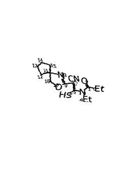 CCC(=O)N(CC)/C(S)=C(\C#N)C1=NC2(CCCC2)CO1